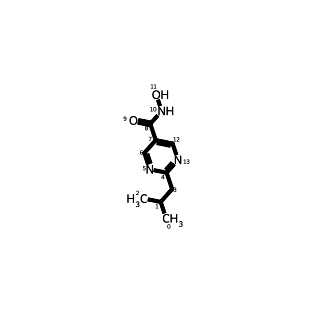 CC(C)Cc1ncc(C(=O)NO)cn1